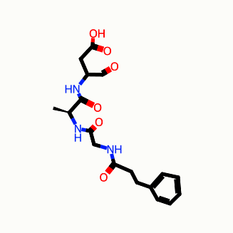 C[C@H](NC(=O)CNC(=O)CCc1ccccc1)C(=O)NC(C=O)CC(=O)O